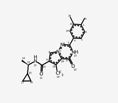 Cc1ccc(-c2nn3cc(C(=O)N[C@H](C)C4CC4)c(C(F)(F)F)c3c(=O)[nH]2)cc1C